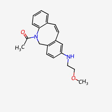 COCCNc1ccc2c(c1)C=Cc1ccccc1N(C(C)=O)C2